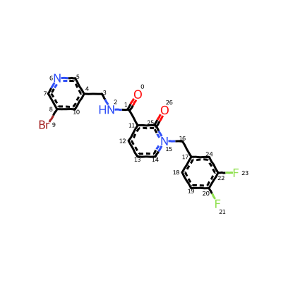 O=C(NCc1cncc(Br)c1)c1cccn(Cc2ccc(F)c(F)c2)c1=O